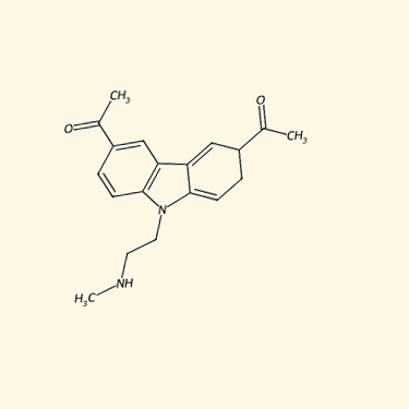 CNCCn1c2c(c3cc(C(C)=O)ccc31)=CC(C(C)=O)CC=2